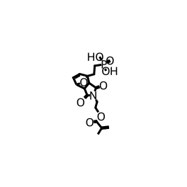 C=C(C)C(=O)OCCN1C(=O)C2C3C=CC(CCP(=O)(O)O)(O3)C2C1=O